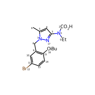 CCN(C(=O)O)c1cc(C)n(Cc2cc(Br)ccc2OCC(C)C)n1